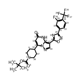 CC(C)(C)OC(=O)N1CCC(c2cc(=O)[nH]c3c(-c4nc(-c5ccc(C(F)(F)F)c(F)c5)no4)cnn23)CC1